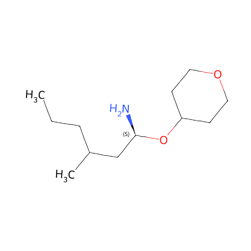 CCCC(C)C[C@@H](N)OC1CCOCC1